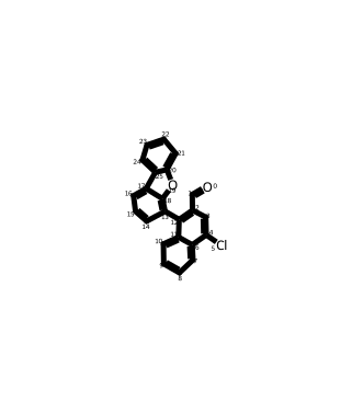 O=Cc1cc(Cl)c2ccccc2c1-c1cccc2c1oc1ccccc12